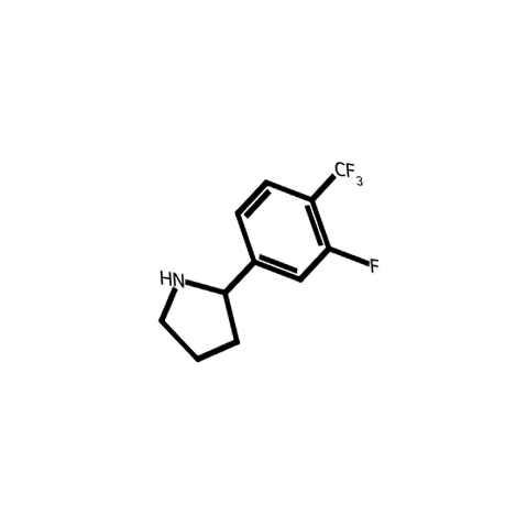 Fc1cc(C2CCCN2)ccc1C(F)(F)F